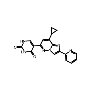 O=c1[nH]cc(-c2cc(C3CC3)c3nc(-c4ccccn4)cn3n2)c(=O)[nH]1